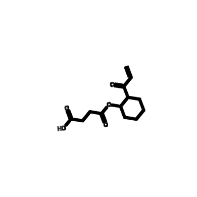 C=CC(=O)C1CCCCC1OC(=O)CCC(=O)O